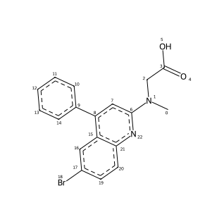 CN(CC(=O)O)c1cc(-c2ccccc2)c2cc(Br)ccc2n1